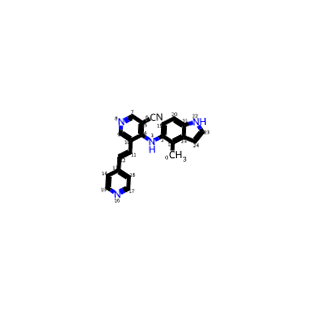 Cc1c(Nc2c(C#N)cncc2C=Cc2ccncc2)ccc2[nH]ccc12